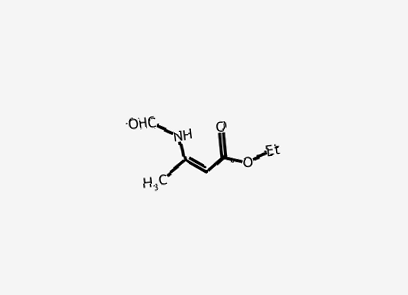 CCOC(=O)/C=C(/C)N[C]=O